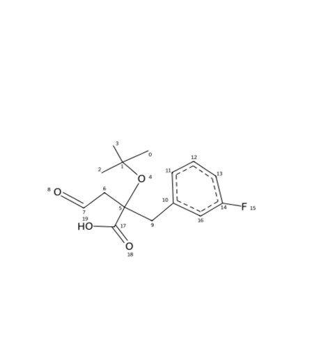 CC(C)(C)OC(CC=O)(Cc1cccc(F)c1)C(=O)O